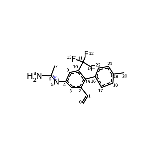 C=Cc1cc(/N=C(\C)N)cc(C(F)(F)F)c1-c1ccc(C)cc1